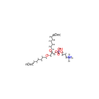 CCCCCCCCCCCCCCCCOCC(COP(=O)(O)OCCC[N+](C)(C)C)OCCCCCCCCCCCCCCCC